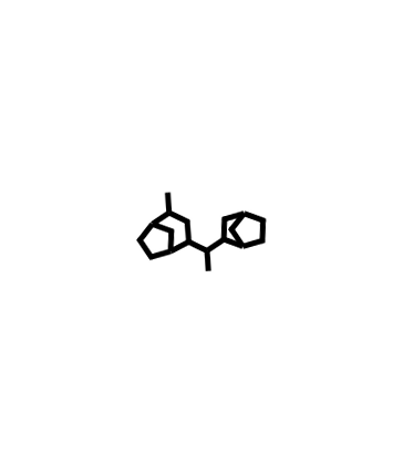 CC1CC(C(C)C2CC3CCC2C3)C2CCC1C2